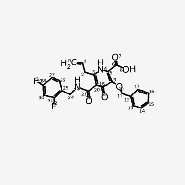 C=CCc1[nH]c(C(=O)O)c(OCc2ccccc2)c(=O)c1C(=O)NCc1ccc(F)cc1F